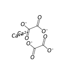 O=C([O-])C(=O)[O-].O=C([O-])C(=O)[O-].[Ca+2].[Ca+2]